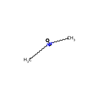 CCCCCCCCCCCCCCCCn1cc[n+](CCCCCCCCCCCCC)c1-c1ccccc1